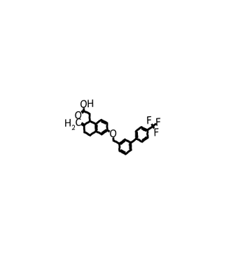 C=C1CCc2cc(OCc3cccc(-c4ccc(C(F)(F)F)cc4)c3)ccc2C1CC(=O)O